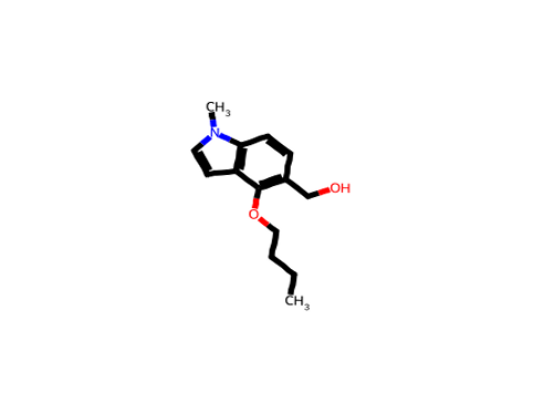 CCCCOc1c(CO)ccc2c1ccn2C